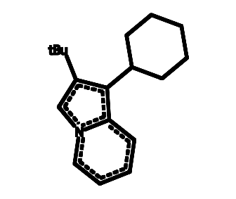 CC(C)(C)c1cn2ccccc2c1C1CCCCC1